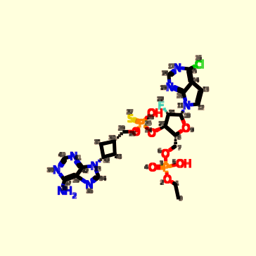 CCOP(=O)(O)OC[C@H]1O[C@@H](n2ccc3c(Cl)ncnc32)[C@@H](F)[C@@H]1OP(O)(=S)OC[C@H]1C[C@@H](n2cnc3c(N)ncnc32)C1